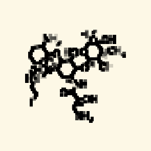 C[C@@H]1C(O)[C@@H](OC2C(O)C(O[C@H]3O[C@H](CNCCF)CCC3N)[C@@H](N)C[C@H]2NC(=O)[C@@H](O)CN)OCC1(C)O